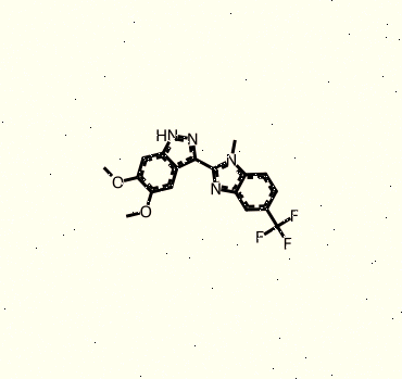 COc1cc2[nH]nc(-c3nc4cc(C(F)(F)F)ccc4n3C)c2cc1OC